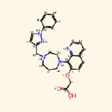 O=C(O)COc1ccc2cccnc2c1N1CCCN(Cc2ccn(-c3ccccc3)n2)CC1